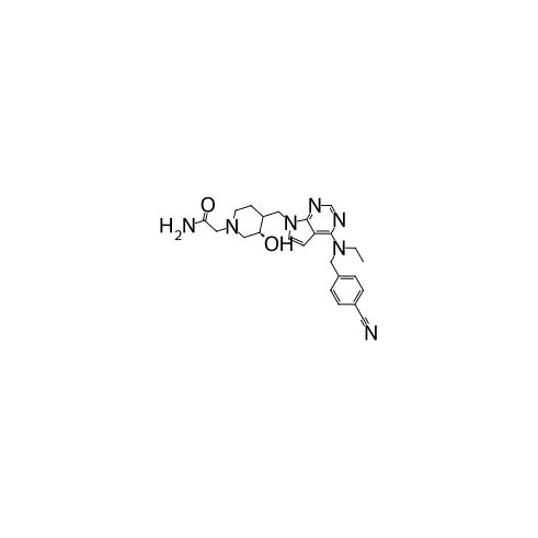 CCN(Cc1ccc(C#N)cc1)c1ncnc2c1ccn2CC1CCN(CC(N)=O)C[C@@H]1O